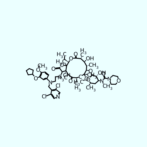 CC[C@H]1OC(=O)[C@H](C)[C@@H](O)[C@H](C)[C@@H](O[C@@H]2O[C@H](C)C[C@H](N(C)C(=O)N3CCOCC3)[C@H]2O)[C@](C)(OC)C[C@@H](C)C(=O)C(C)[C@@]2(C)C(SCCN(Cc3c(Cl)cncc3Cl)c3ccc(OC)c(OC4CCCC4)c3)C(=O)O[C@]12C